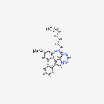 COc1ccc(-c2c(-c3ccccc3)cn3ncnc(NCCCCCC(=O)O)c23)cc1